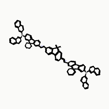 CC1(C)c2cc(/C=C/c3ccc4c(c3)C3(CCCCC3)c3cc(N(c5ccc6ccccc6c5)c5ccc6ccccc6c5)ccc3-4)ccc2-c2ccc(/C=C/c3ccc4c(c3)C3(CCCCC3)c3cc(N(c5ccc6ccccc6c5)c5ccc6ccccc6c5)ccc3-4)cc21